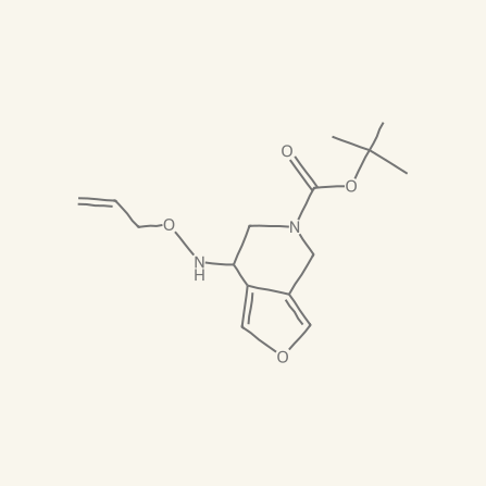 C=CCONC1CN(C(=O)OC(C)(C)C)Cc2cocc21